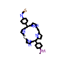 CPc1ccc(-c2c3nc(cc4ccc([nH]4)c(-c4ccc(N=C=S)cc4)c4nc(cc5ccc2[nH]5)C=C4)C=C3)cc1